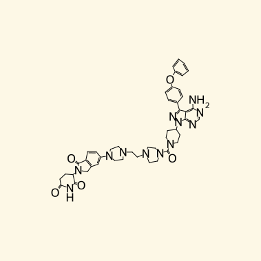 Nc1ncnc2c1c(-c1ccc(Oc3ccccc3)cc1)nn2C1CCN(C(=O)N2CCN(CCN3CCN(c4ccc5c(c4)CN(C4CCC(=O)NC4=O)C5=O)CC3)CC2)CC1